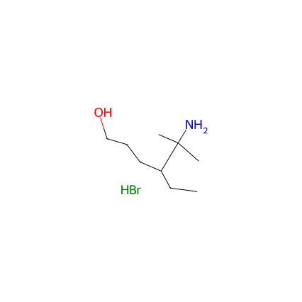 Br.CCC(CCCO)C(C)(C)N